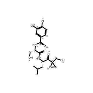 CC(C)C[C@H](NC(=O)[C@H](CO)NC(=O)c1ccc(Cl)c(Cl)c1)C(=O)C1(CO)CO1